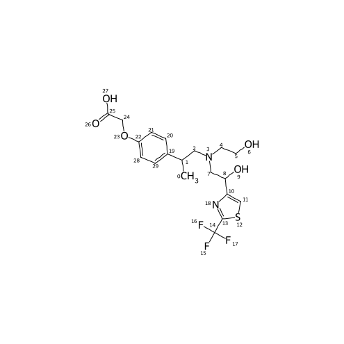 CC(CN(CCO)CC(O)c1csc(C(F)(F)F)n1)c1ccc(OCC(=O)O)cc1